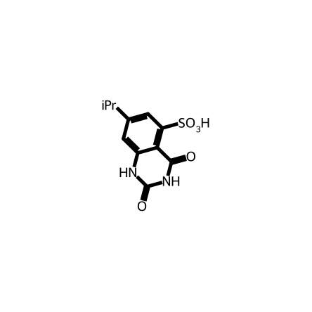 CC(C)c1cc(S(=O)(=O)O)c2c(=O)[nH]c(=O)[nH]c2c1